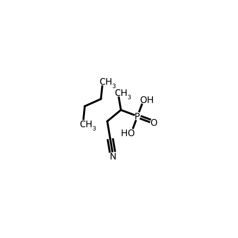 CC(CC#N)P(=O)(O)O.CCCC